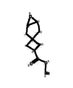 CC(C)(C)OC(=O)N1CC2(CC3OC3C2)C1